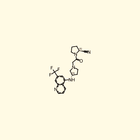 N#C[C@@H]1CCCN1C(=O)CN1CC[C@H](Nc2cc(C(F)(F)F)cc3ncccc23)C1